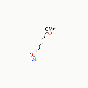 COC(=O)CCCCCCCCC(=O)N(C)C